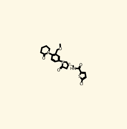 COCc1cc(N2C[C@H](CNC(=O)c3ccc(Cl)s3)CC2=O)ccc1N1CCCCC1=O